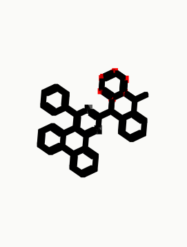 CC12c3ccccc3C(c3nc(-c4ccccc4)c4c5ccccc5c5ccccc5c4n3)(c3ccccc31)c1ccccc12